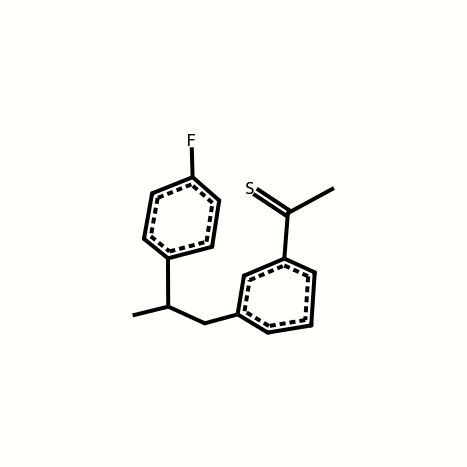 CC(=S)c1cccc(CC(C)c2ccc(F)cc2)c1